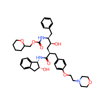 O=C(N[C@@H](Cc1ccccc1)[C@@H](O)C[C@@H](Cc1ccc(OCCN2CCOCC2)cc1)C(=O)N[C@H]1c2ccccc2C[C@H]1O)OCC1CCCCO1